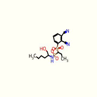 CCCCC(CO)NS(=O)(=O)C(CC)S(=O)(=O)c1cccc(C#N)c1C#N